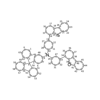 c1ccc(C2(c3ccc(N(c4ccc(-c5cccc6c5sc5ccccc56)cc4)c4cccc(-c5cccc6c5oc5ccccc56)c4)cc3)c3ccccc3-c3ccccc32)cc1